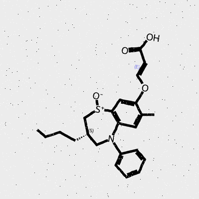 CCCC[C@H]1CN(c2ccccc2)c2cc(C)c(O/C=C/C(=O)O)cc2[S+]([O-])C1